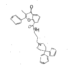 Cc1c(-c2ccccc2)oc2c(C(=O)NCCCN3CCC(c4ccccc4)(c4ccccc4)CC3)cccc2c1=O